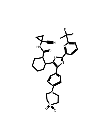 N#CC1(NC(=O)C2CCCCC2c2oc(-c3cccc(C(F)(F)F)n3)nc2-c2ccc(N3CCS(=O)(=O)CC3)cc2)CC1